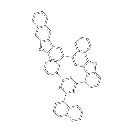 c1ccc(-c2nc(-c3cccc4ccccc34)nc(-c3cccc4oc5c6ccccc6c(-c6ccc7oc8cc9ccccc9cc8c7c6)cc5c34)n2)cc1